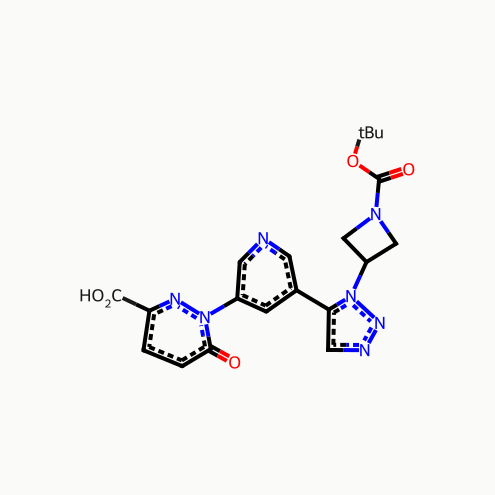 CC(C)(C)OC(=O)N1CC(n2nncc2-c2cncc(-n3nc(C(=O)O)ccc3=O)c2)C1